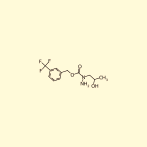 CC(O)CN(N)C(=O)OCc1cccc(C(F)(F)F)c1